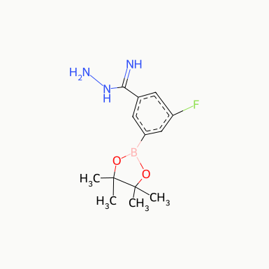 CC1(C)OB(c2cc(F)cc(C(=N)NN)c2)OC1(C)C